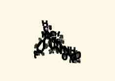 Cc1nc(-c2ccc(F)cc2)c(-c2ccc3nc(NC(=O)c4cocn4)cn3n2)n1C